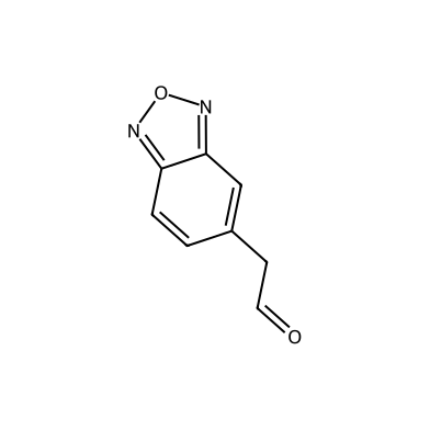 O=CCc1ccc2nonc2c1